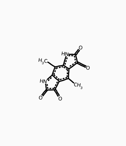 Cc1c2[nH]c(=O)c(=O)c2c(C)c2c(=O)c(=O)[nH]c12